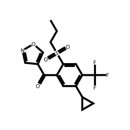 CCCS(=O)(=O)c1cc(C(F)(F)F)c(C2CC2)cc1C(=O)c1cnoc1